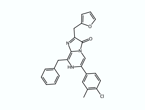 Cc1cc(-c2cn3c(=O)c(Cc4ccco4)nc-3c(Cc3ccccc3)[nH]2)ccc1Cl